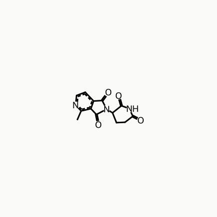 Cc1nccc2c1C(=O)N(C1CCC(=O)NC1=O)C2=O